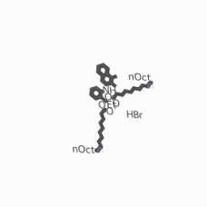 Br.CCCCCCCC/C=C\CCCCCCCC(=O)OC(CC)(OC(=O)CCCCCCC/C=C\CCCCCCCC)c1ccccc1Nc1cc2ccccc2c(C)c1C